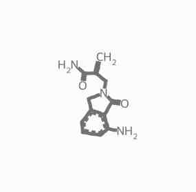 C=C(CN1Cc2cccc(N)c2C1=O)C(N)=O